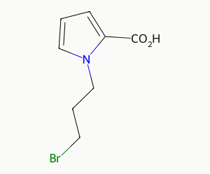 O=C(O)c1cccn1CCCBr